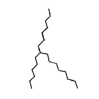 CCCCC[CH]CC(CCCCCC)CCCCCCCC